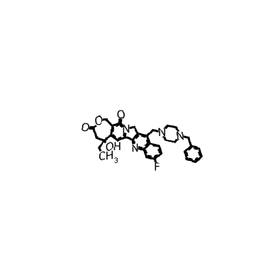 CCC1(O)CC(=O)OCc2c1cc1n(c2=O)Cc2c-1nc1cc(F)ccc1c2CN1CCN(Cc2ccccc2)CC1